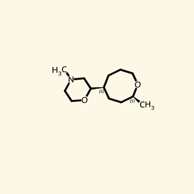 C[C@H]1CC[C@@H](C2CN(C)CCO2)CCCO1